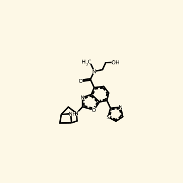 CN(CCO)C(=O)c1ccc(-c2nccs2)c2oc(N3CC4CC(C3)N4)nc12